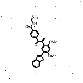 C=C(C(=O)c1ccc(C(=O)NCC(F)(F)F)cc1)c1cc(-c2cc3ccccc3s2)c(OC)cc1OC